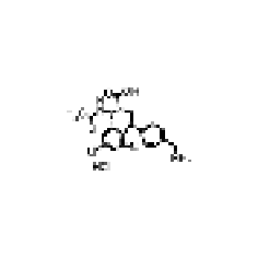 CC(=O)NN1c2cc(Cl)cc(Cl)c2C(c2ccc(CN)cc2)CC1C(=O)O.Cl